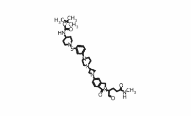 CNC(=O)CCC(C=O)N1Cc2cc(N3CC(N4CCN(c5cccc(SN6CCC(NC(=O)OC(C)(C)C)CC6)c5)CC4)C3)ccc2C1=O